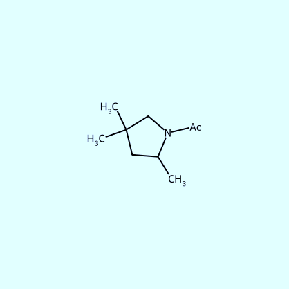 CC(=O)N1CC(C)(C)CC1C